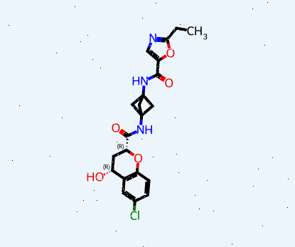 CCc1ncc(C(=O)NC23CC(NC(=O)[C@H]4C[C@@H](O)c5cc(Cl)ccc5O4)(C2)C3)o1